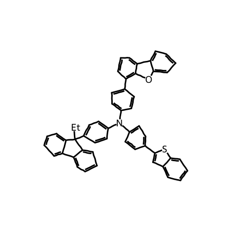 CCC1(c2ccc(N(c3ccc(-c4cc5ccccc5s4)cc3)c3ccc(-c4cccc5c4oc4ccccc45)cc3)cc2)c2ccccc2-c2ccccc21